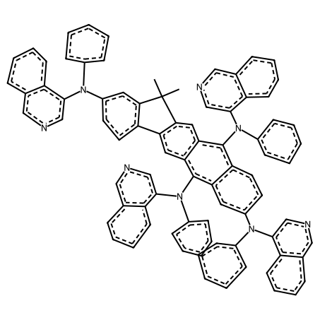 CC1(C)c2cc(N(c3ccccc3)c3cncc4ccccc34)ccc2-c2cc3c(N(c4ccccc4)c4cncc5ccccc45)c4cc(N(c5ccccc5)c5cncc6ccccc56)ccc4c(N(c4ccccc4)c4cncc5ccccc45)c3cc21